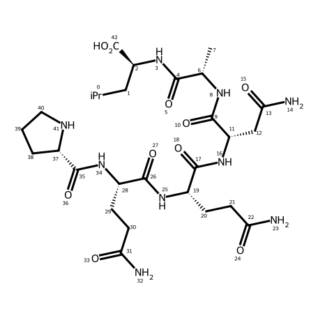 CC(C)C[C@H](NC(=O)[C@H](C)NC(=O)[C@H](CC(N)=O)NC(=O)[C@H](CCC(N)=O)NC(=O)[C@H](CCC(N)=O)NC(=O)[C@@H]1CCCN1)C(=O)O